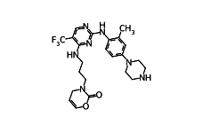 Cc1cc(N2CCNCC2)ccc1Nc1ncc(C(F)(F)F)c(NCCCN2CC=COC2=O)n1